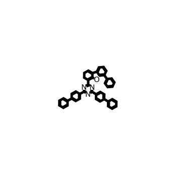 C1=c2c(oc3c(-c4ccccc4)cccc23)=C(c2nc(-c3ccc(-c4ccccc4)cc3)nc(-c3ccc(-c4ccccc4)cc3)n2)CC1